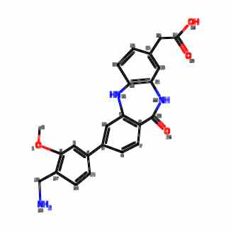 COc1cc(-c2ccc3c(c2)Nc2ccc(CC(=O)O)cc2NC3=O)ccc1CN